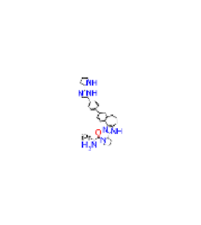 CC(C)[C@H](N)C(=O)N1CCC[C@H]1c1nc2c([nH]1)CCCc1cc(-c3ccc(-c4cnc([C@@H]5CCCN5)[nH]4)cc3)ccc1-2